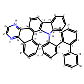 c1ccc(-c2ccccc2-c2ccccc2-n2c3ccccc3c3ccc4c5nccnc5c5ccccc5c4c32)cc1